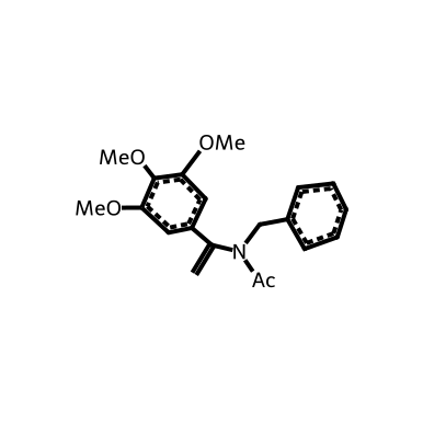 C=C(c1cc(OC)c(OC)c(OC)c1)N(Cc1ccccc1)C(C)=O